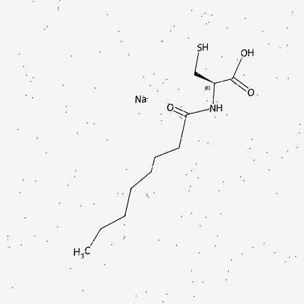 CCCCCCCC(=O)N[C@@H](CS)C(=O)O.[Na]